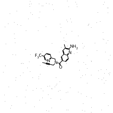 CC#CCN(Cc1ccc(C(F)(F)F)cn1)C(=O)c1ccc2nc(N)c(C)cc2c1